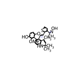 COc1c(O)ccc2c1-c1ccc3c(c1/C(=C/c1sccc1/C(C)=N\O)O2)C(C)=CC(C)(C)N3